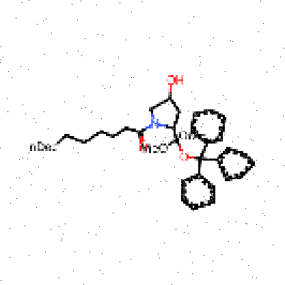 CCCCCCCCCCCCCCCC(=O)N1CC(O)CC1C(OC)(OC)OC(c1ccccc1)(c1ccccc1)c1ccccc1